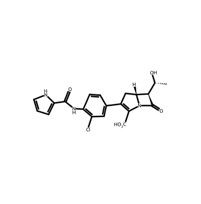 C[C@@H](O)[C@H]1C(=O)N2C(C(=O)O)=C(c3ccc(NC(=O)c4ccc[nH]4)c(Cl)c3)C[C@H]12